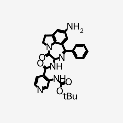 CC(C)(C)OC(=O)Nc1cnccc1C(=O)NC1N=C(c2ccccc2)c2cc(N)cc3c2N(CC3)C1=O